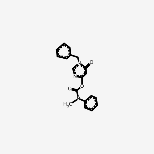 CN(C(=O)Oc1cc(=O)n(Cc2ccccc2)cn1)c1ccccc1